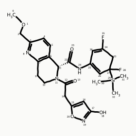 COCc1ccc2c(n1)CCN(C(=O)Cc1cc(O)no1)[C@H]2C(=O)NC1=CC(F)([Si](C)(C)C)CC(F)=C1